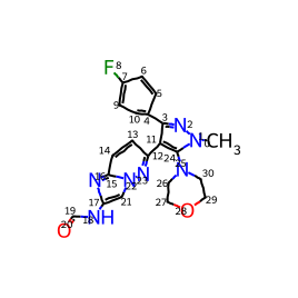 Cn1nc(-c2ccc(F)cc2)c(-c2ccc3nc(NC=O)cn3n2)c1N1CCOCC1